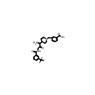 NC(C(=O)CNC(=O)c1cccc(C(F)(F)F)c1)C1CCN(Cc2cccc(C(=O)O)c2)CC1